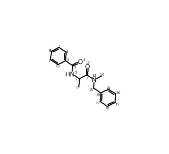 CC(NC(=O)c1ccccc1)C(=O)N(C)Cc1ccccc1